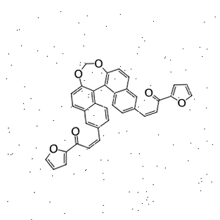 O=C(/C=C\c1ccc2c3c(ccc2c1)OCOc1ccc2cc(/C=C\C(=O)c4ccco4)ccc2c1-3)c1ccco1